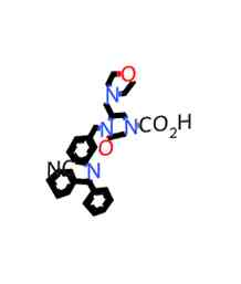 N#Cc1ccc(CN2C(=O)CN(C(=O)O)CC2CN2CCOCC2)cc1N=C(c1ccccc1)c1ccccc1